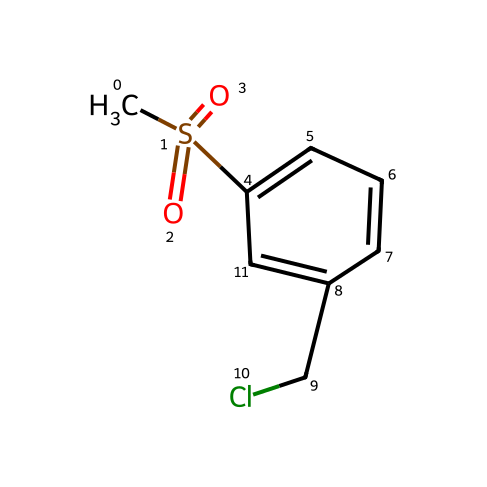 CS(=O)(=O)c1cccc(CCl)c1